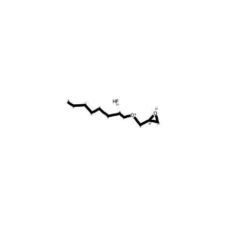 CCCCCCCCOCC1CO1.F